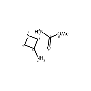 COC(N)=O.NC1CSC1